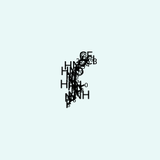 Cc1cc(Nc2cc(F)n[nH]2)nc(Nc2ccc(NC(=O)Nc3ccc(Cl)c(C(F)(F)F)c3)nc2)n1